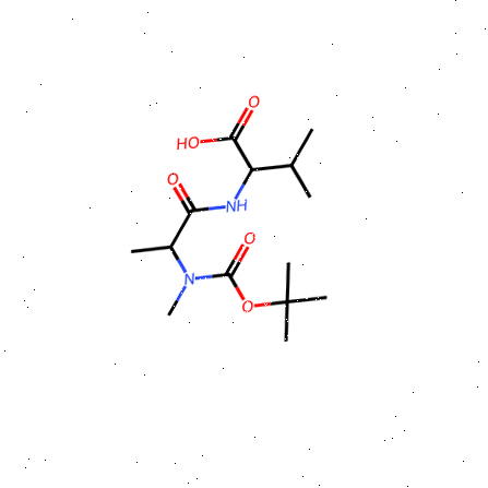 CC(C)C(NC(=O)C(C)N(C)C(=O)OC(C)(C)C)C(=O)O